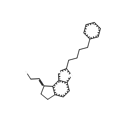 NC/C=C1\CCc2ccc3nc(CCCCc4ccccc4)oc3c21